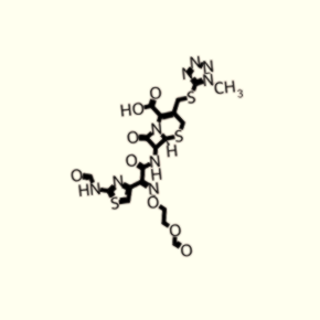 Cn1nnnc1SCC1=C(C(=O)O)N2C(=O)C(NC(=O)C(=NOCCOC=O)c3csc(NC=O)n3)[C@@H]2SC1